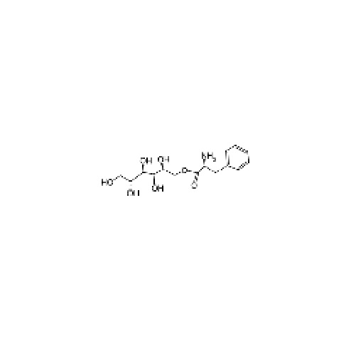 N[C@@H](Cc1ccccc1)C(=O)OC[C@H](O)[C@@H](O)[C@H](O)[C@H](O)CO